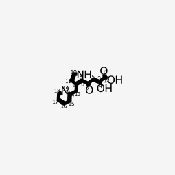 O=C(O)/C(O)=C/C(=O)c1[nH]ccc1Cc1ccccn1